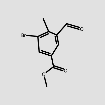 COC(=O)c1cc(Br)c(C)c(C=O)c1